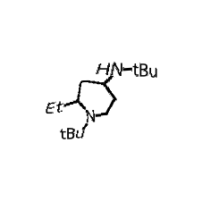 CCC1CC(NC(C)(C)C)CCN1C(C)(C)C